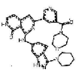 O=C(c1cncc(-c2cc3cc[nH]c(=O)c3c(Nc3ccc4c(N5CCCCC5)n[nH]c4c3)n2)c1)N1CCOCC1